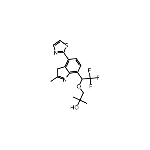 CC1=Nc2c(C(OCC(C)(C)O)C(F)(F)F)ccc(-c3nccs3)c2C1